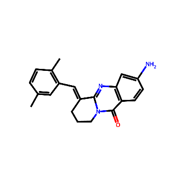 Cc1ccc(C)c(/C=C2\CCCn3c2nc2cc(N)ccc2c3=O)c1